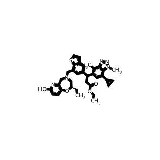 CCOC(=O)CC(c1cc(CN2Cc3nc(O)ccc3O[C@H](CC)C2)c2sccc2c1)c1cc(C2CC2)c2c(nnn2C)c1C